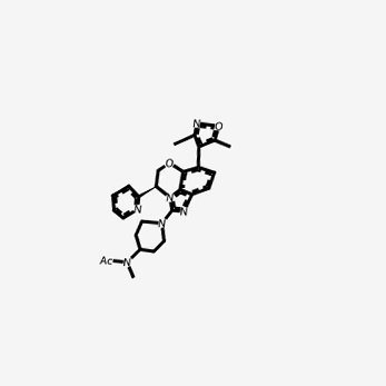 CC(=O)N(C)C1CCN(c2nc3ccc(-c4c(C)noc4C)c4c3n2[C@@H](c2ccccn2)CO4)CC1